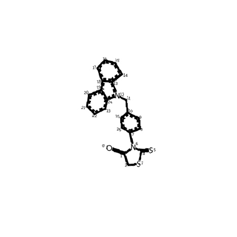 O=C1CSC(=S)N1c1ccc(Cn2c3ccccc3c3ccccc32)cc1